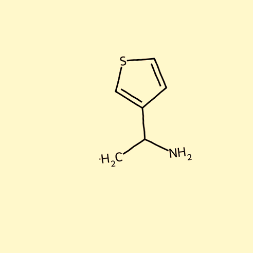 [CH2]C(N)c1ccsc1